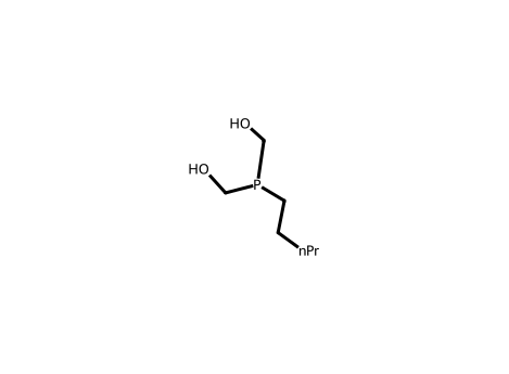 CCCCCP(CO)CO